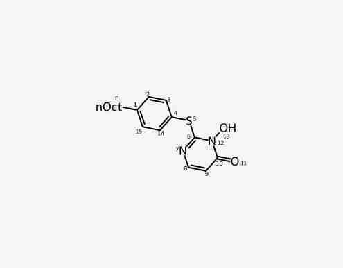 CCCCCCCCc1ccc(Sc2nccc(=O)n2O)cc1